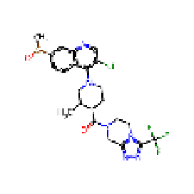 CC1CN(c2c(Cl)cnc3cc([S+](C)[O-])ccc23)CCC1C(=O)N1CCn2c(nnc2C(F)(F)F)C1